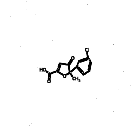 CC1(c2cccc(Cl)c2)OC(C(=O)O)=CC1=O